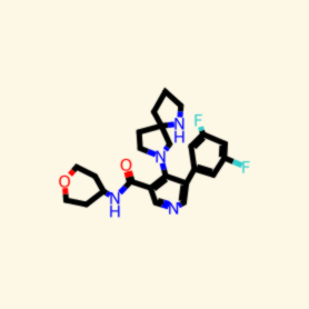 O=C(NC1CCOCC1)c1cncc(-c2cc(F)cc(F)c2)c1N1CCC2(CCCN2)C1